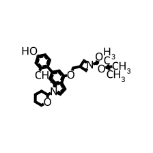 Cc1cc(O)ccc1-c1cc(OCC2CN(C(=O)OC(C)(C)C)C2)c2ccn(C3CCCCO3)c2c1